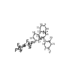 Cc1ccc(-c2c[n+]3ccccc3c3cccc[n+]23)c(C)c1.F[B-](F)(F)F.F[B-](F)(F)F